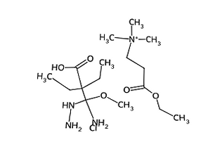 CCC(CC)(C(=O)O)C(N)(NN)OC.CCOC(=O)CC[N+](C)(C)C.[Cl-]